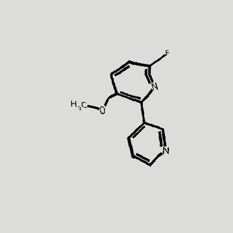 COc1ccc(F)nc1-c1cccnc1